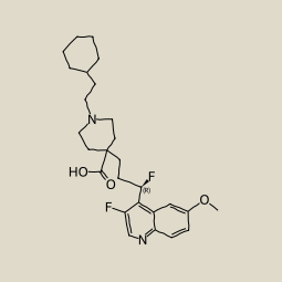 COc1ccc2ncc(F)c([C@H](F)CCC3(C(=O)O)CCN(CCC4CCCCC4)CC3)c2c1